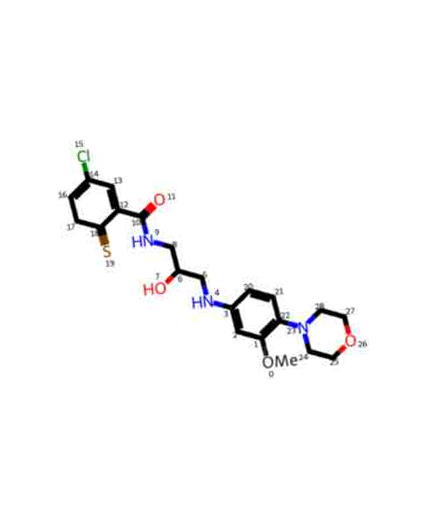 COc1cc(NCC(O)CNC(=O)C2=CC(Cl)=CCC2=S)ccc1N1CCOCC1